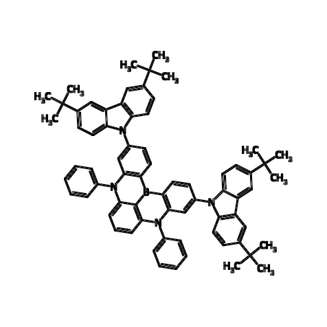 CC(C)(C)c1ccc2c(c1)c1cc(C(C)(C)C)ccc1n2-c1ccc2c(c1)N(c1ccccc1)c1cccc3c1B2c1ccc(-n2c4ccc(C(C)(C)C)cc4c4cc(C(C)(C)C)ccc42)cc1N3c1ccccc1